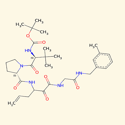 C=CCC(NC(=O)[C@@H]1CCCN1C(=O)[C@@H](NC(=O)OC(C)(C)C)C(C)(C)C)C(=O)C(=O)NCC(=O)NCc1cccc(C)c1